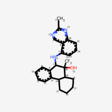 Cc1ncc2c(NC3c4ccccc4C4CCCCC4C3(O)C(F)(F)F)cccc2n1